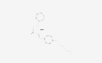 CN(C)CCCOc1ccc(/C=C2/C(=O)NN(c3ccc(I)cc3)C2=O)cc1